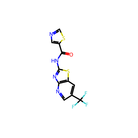 O=C(Nc1nc2ncc(C(F)(F)F)cc2s1)c1cncs1